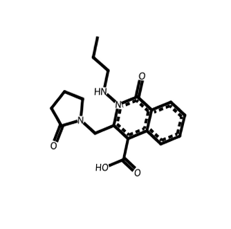 CCCNn1c(CN2CCCC2=O)c(C(=O)O)c2ccccc2c1=O